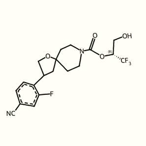 N#Cc1ccc(C2COC3(CCN(C(=O)O[C@H](CO)C(F)(F)F)CC3)C2)c(F)c1